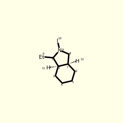 CCC1[C@@H]2CCCC[C@@H]2CN1I